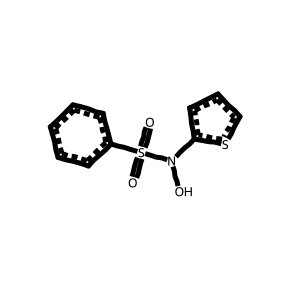 O=S(=O)(c1ccccc1)N(O)c1cccs1